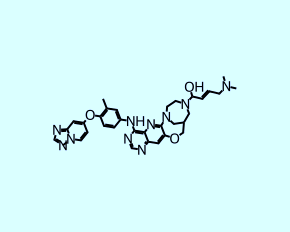 Cc1cc(Nc2ncnc3cc4c(nc23)N2CCN(C(O)/C=C/CN(C)C)CC(CO4)C2)ccc1Oc1ccn2ncnc2c1